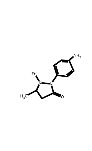 CCN1C(C)CC(=O)N1c1ccc(N)cc1